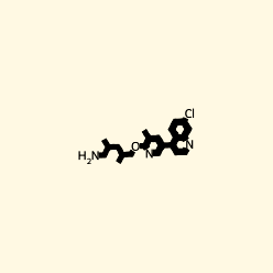 Cc1cc(-c2ccnc3cc(Cl)ccc23)cnc1OCC(C)CC(C)CN